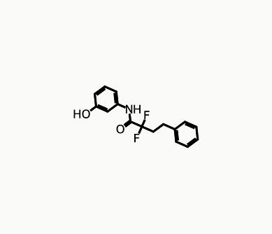 O=C(Nc1cccc(O)c1)C(F)(F)CCc1ccccc1